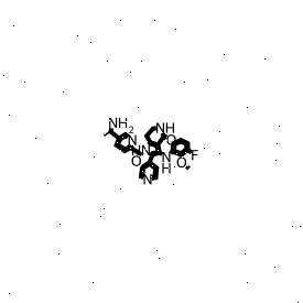 COc1c(F)cccc1Nc1c(-c2ccncc2OCc2ccc([C@@H](C)N)cn2)[nH]c2c1C(=O)NCC2